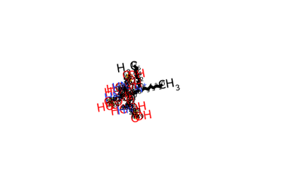 CCCCCCCC[N+](C)(CCCCCCCC)CCC[Si](OCC(CO)(CO)NCCS(=O)(=O)O)(OCC(CO)(CO)NCCS(=O)(=O)O)OCC(CO)(CO)NCCS(=O)(=O)O